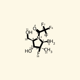 B[C@@H]1N(C(=O)C(F)(F)F)[C@H](CO)[C@@H](O)[C@]1(C)F